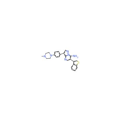 CN1CCN(c2ccc(-c3cnn4c(N)c(-c5csc6ccccc56)cnc34)cc2)CC1